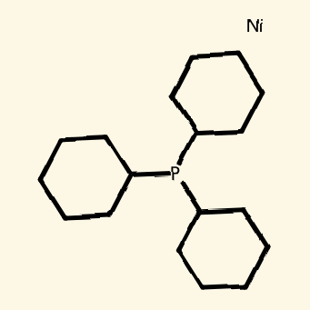 C1CCC(P(C2CCCCC2)C2CCCCC2)CC1.[Ni]